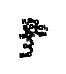 COCC(=O)S[C@H]1NC(=O)[C@@H]1C(C(C)(C)C)C(C)(C)O[SiH3]